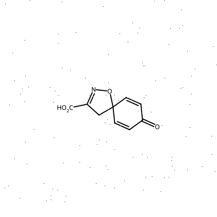 O=C1C=CC2(C=C1)CC(C(=O)O)=NO2